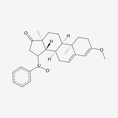 COC1=CC2=CC[C@@H]3[C@@H](CC[C@]4(C)C(=O)CC([S+]([O-])c5ccccc5)[C@@H]34)[C@@]2(C)CC1